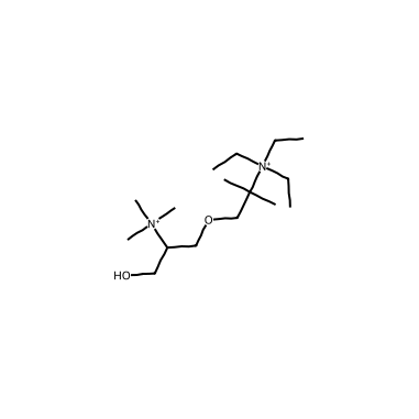 CC[N+](CC)(CC)C(C)(C)COCC(CO)[N+](C)(C)C